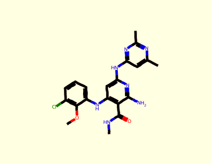 CNC(=O)c1c(Nc2cccc(Cl)c2OC)cc(Nc2cc(C)nc(C)n2)nc1N